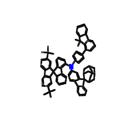 CC(C)(C)c1ccc2c(c1)C1(c3cc(C(C)(C)C)ccc3-2)c2ccccc2-c2c(N(c3ccc(-c4cccc5c4C(C)(C)c4ccccc4-5)cc3)c3ccc4c(c3)C3(c5ccccc5-4)C4CC5CC(C4)CC3C5)cccc21